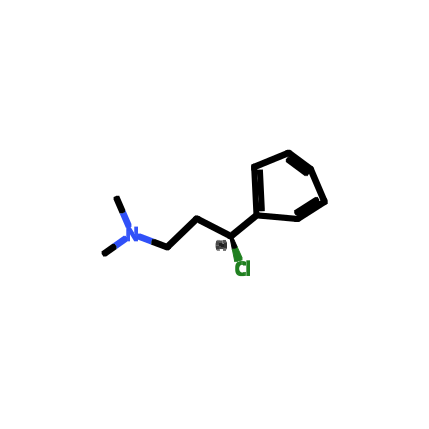 CN(C)CC[C@H](Cl)c1ccccc1